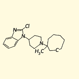 CC1(N2CCC(n3c(Cl)nc4ccccc43)CC2)CCCCCCC1